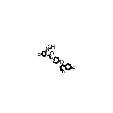 C#[N+][C@@H]1C[C@H](F)CN1C(=O)CN1CCC(Oc2ccnc3cc(F)ccc23)CC1